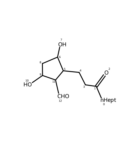 CCCCCCCC(=O)CCC1C(O)CC(O)C1C=O